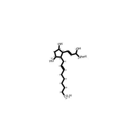 CCCCCC(O)C=CC1C(O)CC(O)C1CC=CCCCCCC(=O)O